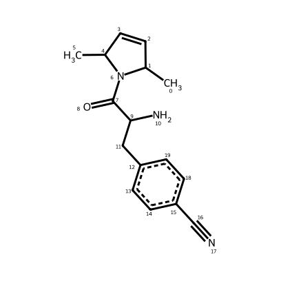 CC1C=CC(C)N1C(=O)C(N)Cc1ccc(C#N)cc1